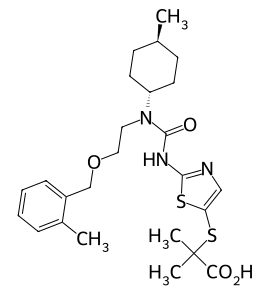 Cc1ccccc1COCCN(C(=O)Nc1ncc(SC(C)(C)C(=O)O)s1)[C@H]1CC[C@H](C)CC1